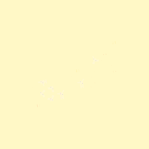 Cc1ccccc1Nc1nc(O)nc(Nc2cc(Nc3ccc4c5c3C(=O)c3ccccc3-c5c(C(=O)c3cccc(S)c3)c(=O)n4C)c(S)cc2S)n1